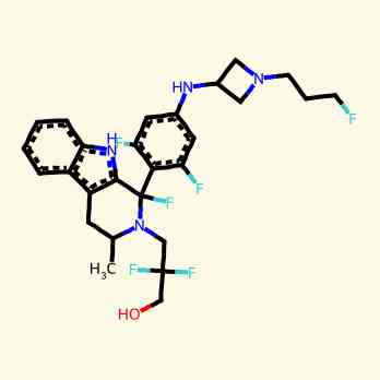 CC1Cc2c([nH]c3ccccc23)C(F)(c2c(F)cc(NC3CN(CCCF)C3)cc2F)N1CC(F)(F)CO